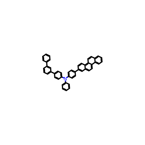 c1ccc(-c2cccc(-c3ccc(N(c4ccccc4)c4ccc(-c5ccc6c(ccc7c8ccccc8ccc67)c5)cc4)cc3)c2)cc1